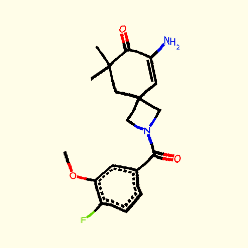 COc1cc(C(=O)N2CC3(C=C(N)C(=O)C(C)(C)C3)C2)ccc1F